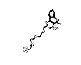 O=[N+](O)c1c(Cl)nc2ccccc2c1NCCOCCOCCOCCP(=O)([O-])O